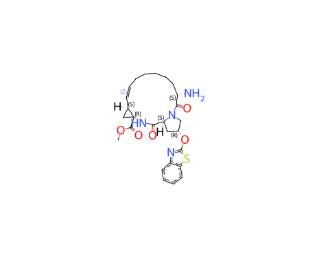 COC(=O)[C@@]12C[C@H]1/C=C\CCCCC[C@H](N)C(=O)N1C[C@H](Oc3nc4ccccc4s3)C[C@H]1C(=O)N2